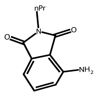 CCCN1C(=O)c2cccc(N)c2C1=O